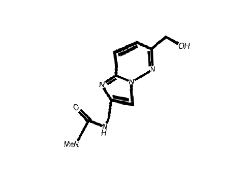 CNC(=O)Nc1cn2nc(CO)ccc2n1